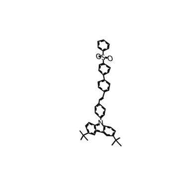 CC(C)(C)c1ccc2c(c1)c1cc(C(C)(C)C)ccc1n2-c1ccc(C=Cc2ccc(-c3ccc(S(=O)(=O)c4ccccc4)cc3)cc2)cc1